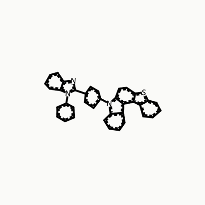 c1ccc(-n2c(-c3ccc(-n4c5ccccc5c5c6c(ccc54)sc4ccccc46)cc3)nc3ccccc32)cc1